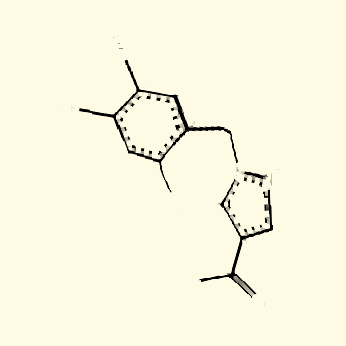 CC(=O)c1cnn(Cc2cc(F)c(F)cc2F)c1